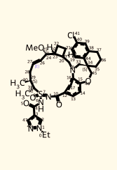 CCn1cc(C(=O)NS2(=O)=NC(=O)c3ccc4c(c3)N(C[C@@H]3CC[C@H]3[C@@H](OC)/C=C/C[C@H](C)[C@H]2C)C[C@@]2(CCCc3cc(Cl)ccc32)CO4)cn1